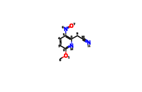 COc1ccc(N=O)c(CC#N)n1